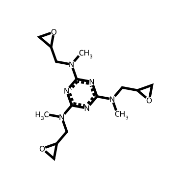 CN(CC1CO1)c1nc(N(C)CC2CO2)nc(N(C)CC2CO2)n1